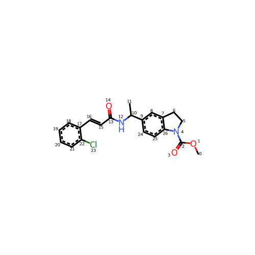 COC(=O)N1CCc2cc(C(C)NC(=O)C=Cc3ccccc3Cl)ccc21